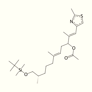 CC(=O)OC(C/C=C(\C)CCC[C@H](C)CO[Si](C)(C)C(C)(C)C)/C(C)=C/c1csc(C)n1